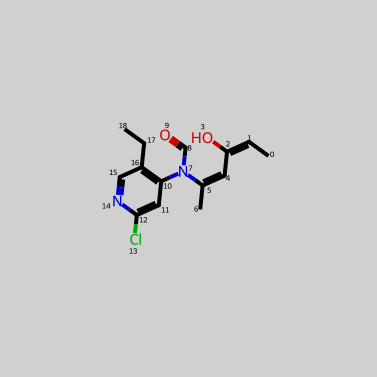 C/C=C(O)\C=C(\C)N(C=O)c1cc(Cl)ncc1CC